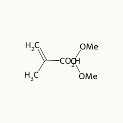 C=C(C)C(=O)O.COOOC